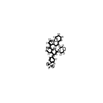 CS(=O)(=O)c1ccc(-c2cc(N3CCOCC3)nc3c(C4=CC=NC4CCC4CCCCO4)nccc23)cc1